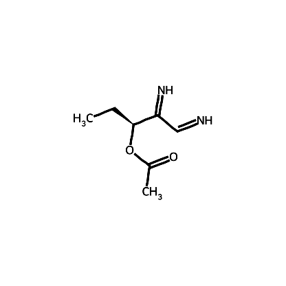 CC[C@H](OC(C)=O)C(=N)C=N